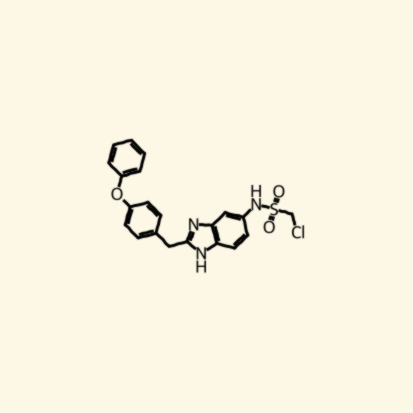 O=S(=O)(CCl)Nc1ccc2[nH]c(Cc3ccc(Oc4ccccc4)cc3)nc2c1